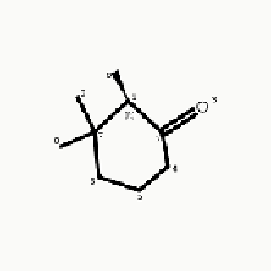 C[C@H]1C(=O)CCCC1(C)C